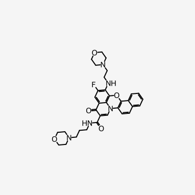 O=C(NCCCN1CCOCC1)c1cn2c3c(c(NCCN4CCOCC4)c(F)cc3c1=O)Oc1c-2ccc2ccccc12